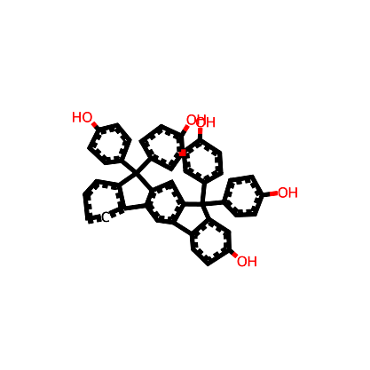 Oc1ccc(C2(c3ccc(O)cc3)c3ccccc3-c3cc4c(cc32)C(c2ccc(O)cc2)(c2ccc(O)cc2)c2cc(O)ccc2-4)cc1